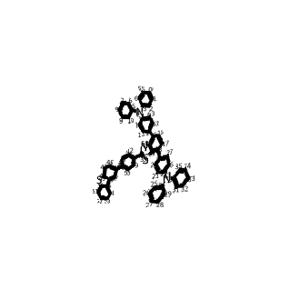 c1ccc(N(c2ccccc2)c2ccc(-c3ccc(-c4ccc(N(c5ccccc5)c5ccccc5)cc4)c4sc(-c5ccc(-c6ccc7sc8ccccc8c7c6)cc5)nc34)cc2)cc1